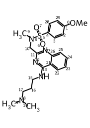 COc1ccc(S(=O)(=O)N(C)Cc2nc(NCCCN(C)C)c3ccccc3n2)cc1